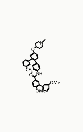 COc1cccc(-c2cc(C(=O)Nc3ccc(-c4ccc(OC5CCN(C)CC5)cc4-c4cccc(C(F)(F)F)c4)cc3)ccc2OC)c1